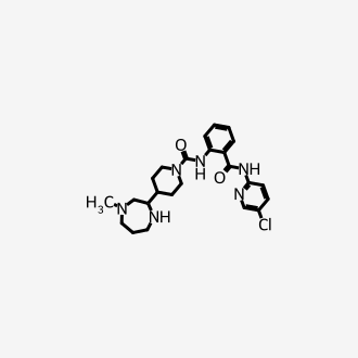 CN1CCCNC(C2CCN(C(=O)Nc3ccccc3C(=O)Nc3ccc(Cl)cn3)CC2)C1